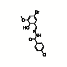 COc1cc(Br)cc(/C=N/NC(=O)c2ccc(Cl)cc2)c1O